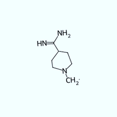 [CH2]N1CCC(C(=N)N)CC1